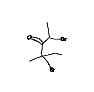 CC(Br)C(=O)C(C)(C)Br